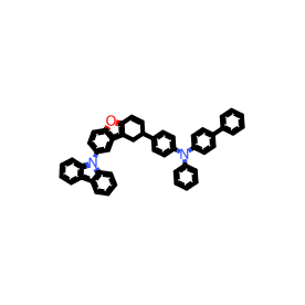 C1=CC(c2ccc(N(c3ccccc3)c3ccc(-c4ccccc4)cc3)cc2)Cc2c1oc1ccc(-n3c4ccccc4c4ccccc43)cc21